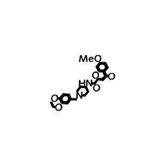 COc1ccc2c(=O)cc(C(=O)NC3CCN(Cc4ccc5c(c4)OCCO5)CC3)oc2c1